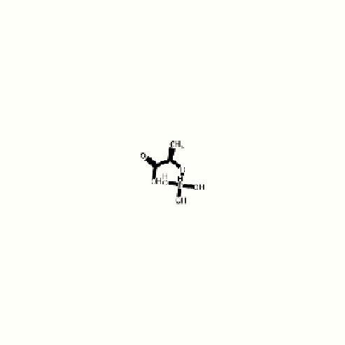 C=C(O[PH](O)(O)O)C(=O)O